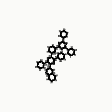 c1ccc(-c2nc(-c3ccccc3)nc(-c3cccc(-c4nc(-c5ccccc5)c(-c5cnc6ccccc6c5)nc4-c4ccccc4)c3)n2)cc1